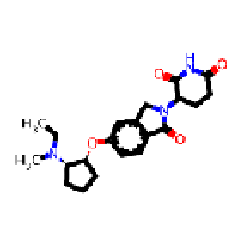 CCN(C)[C@H]1CCC[C@H]1Oc1ccc2c(c1)CN(C1CCC(=O)NC1=O)C2=O